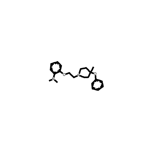 CN(C)c1ccccc1OCCN1CCC(C)(Oc2ccccc2)CC1